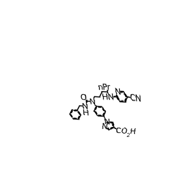 CCCC(CCCN(C(=O)NCc1ccccc1)c1ccc(-n2cc(C(=O)O)cn2)cc1)Nc1ccc(C#N)cn1